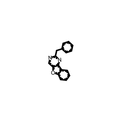 c1ccc(Cc2ncc3oc4ccccc4c3n2)cc1